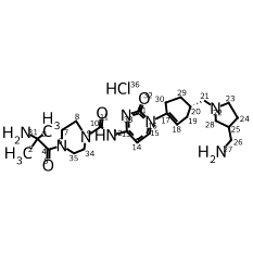 CC(C)(N)C(=O)N1CCN(C(=O)Nc2ccn(C3=CC[C@@H](CN4CCC(CN)C4)CC3)c(=O)n2)CC1.Cl